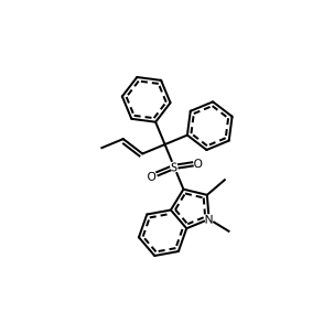 CC=CC(c1ccccc1)(c1ccccc1)S(=O)(=O)c1c(C)n(C)c2ccccc12